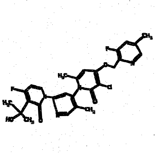 Cc1cnc(COc2cc(C)n(-c3cc(-n4ccc(F)c(C(C)(C)O)c4=O)ncc3C)c(=O)c2Cl)c(F)c1